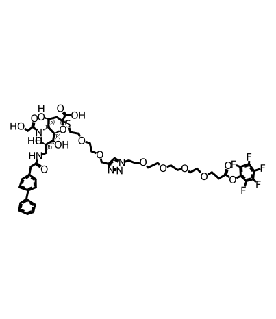 O=C(Cc1ccc(-c2ccccc2)cc1)NC[C@@H](O)[C@@H](O)[C@@H]1O[C@@](SCCOCCOCc2cn(CCOCCOCCOCCOCCC(=O)Oc3c(F)c(F)c(F)c(F)c3F)nn2)(C(=O)O)C[C@H](O)[C@H]1NC(=O)CO